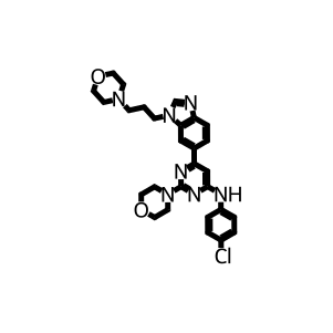 Clc1ccc(Nc2cc(-c3ccc4ncn(CCCN5CCOCC5)c4c3)nc(N3CCOCC3)n2)cc1